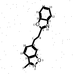 Cc1noc2cc(CCc3nc4ccccc4o3)ccc12